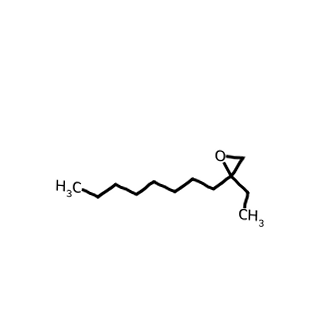 CCCCCCCCC1(CC)CO1